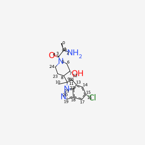 C[C@@H](N)C(=O)N1CCC(C2(C)[C@H](O)c3cc(Cl)cc4cnn2c34)CC1